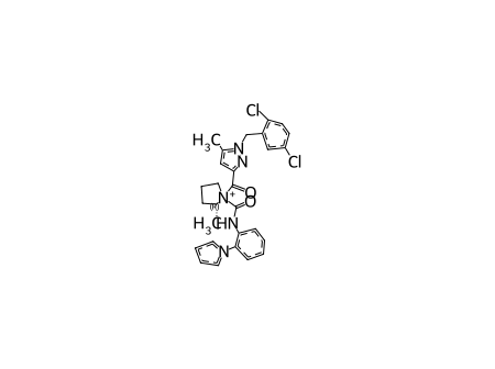 Cc1cc(C(=O)[N+]2(C(=O)Nc3ccccc3-n3cccc3)CCC[C@H]2C)nn1Cc1cc(Cl)ccc1Cl